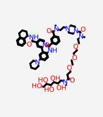 CN(C[C@H](O)[C@@H](O)[C@H](O)[C@H](O)CO)C(=O)CCOCCOCCOCCN(C)C(=O)N1CCN(CCN(C)C(=O)c2cccc(C(=O)Nc3ccc(N4CCCCC4)cc3-c3cc(C(=O)N[C@H]4CCCc5ccccc54)ccn3)c2)CC1